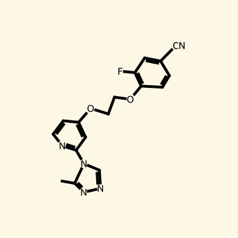 Cc1nncn1-c1cc(OCCOc2ccc(C#N)cc2F)ccn1